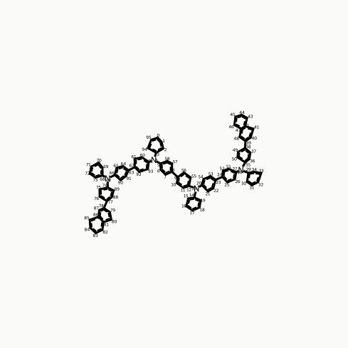 c1ccc(N(c2ccc(-c3ccc(N(c4ccccc4)c4ccc(-c5ccc(N(c6ccccc6)c6ccc(-c7ccc8ccccc8c7)cc6)cc5)cc4)cc3)cc2)c2ccc(-c3ccc(N(c4ccccc4)c4ccc(-c5ccc6ccccc6c5)cc4)cc3)cc2)cc1